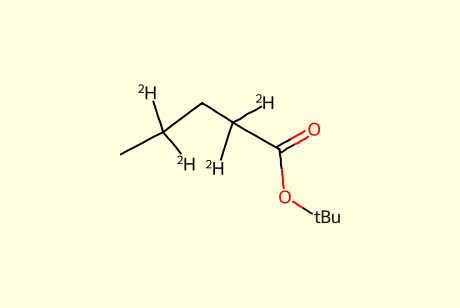 [2H]C([2H])(C)CC([2H])([2H])C(=O)OC(C)(C)C